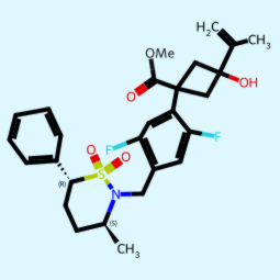 C=C(C)C1(O)CC(C(=O)OC)(c2cc(F)c(CN3[C@@H](C)CC[C@H](c4ccccc4)S3(=O)=O)cc2F)C1